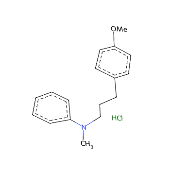 COc1ccc(CCCN(C)c2ccccc2)cc1.Cl